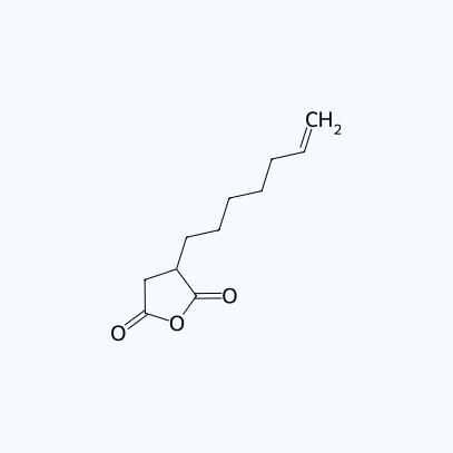 C=CCCCCCC1CC(=O)OC1=O